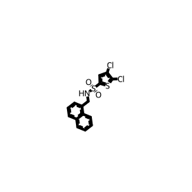 O=S(=O)(NCc1cccc2ccccc12)c1cc(Cl)c(Cl)s1